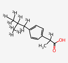 [2H]C(C)(C(=O)O)c1ccc(C([2H])([2H])C([2H])(C([2H])([2H])[2H])C([2H])([2H])[2H])cc1